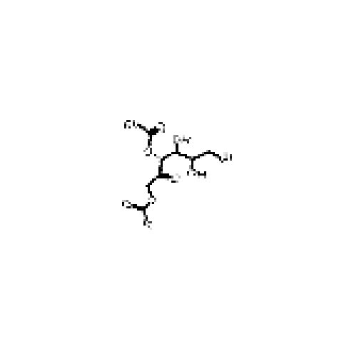 CCC(=O)OCC(=O)[C@H](OC(=O)CC)[C@@H](O)[C@H](O)CO